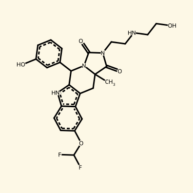 CC12Cc3c([nH]c4ccc(OC(F)F)cc34)C(c3cccc(O)c3)N1C(=O)N(CCNCCO)C2=O